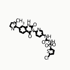 CN1CCN=C1c1ccc2c(=O)n(-c3ccc(NC(=O)NS(=O)(=O)c4ccc(Cl)s4)cn3)c(=O)[nH]c2c1